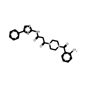 O=C(CC(=O)N1CCN(C(=O)c2ccccc2C(F)(F)F)CC1)Nc1nc(-c2ccccc2)cs1